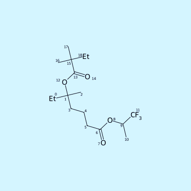 CCC(C)(CCCC(=O)OC(C)C(F)(F)F)OC(=O)C(C)(C)CC